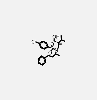 CC(C)[C@H](CO)CN(C(C)CCc1ccccc1)S(=O)(=O)c1ccc(Cl)cc1